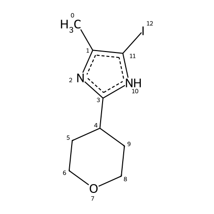 Cc1nc(C2CCOCC2)[nH]c1I